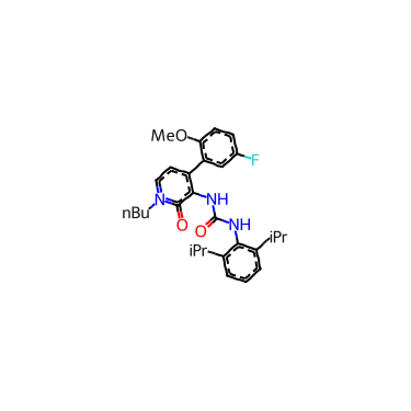 CCCCn1ccc(-c2cc(F)ccc2OC)c(NC(=O)Nc2c(C(C)C)cccc2C(C)C)c1=O